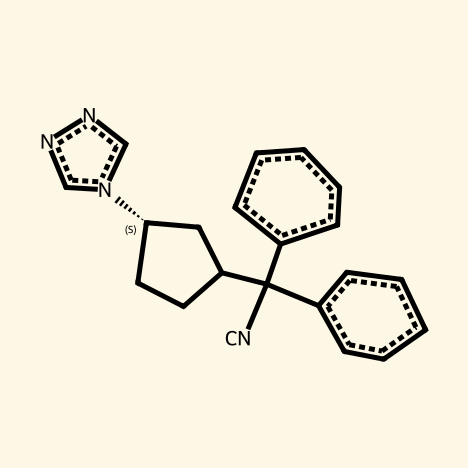 [C-]#[N+]C(c1ccccc1)(c1ccccc1)C1CC[C@H](n2cnnc2)C1